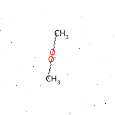 CCCCCCCCCCCO[CH]CCOCCCCCCCCCCC